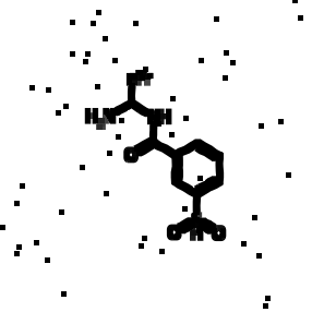 CCCC(N)NC(=O)c1cccc([SH](=O)=O)c1